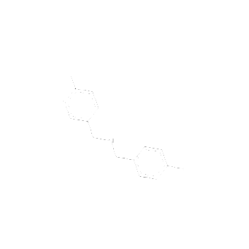 Fc1ccc(CNCc2ccc(Cl)nc2)cc1